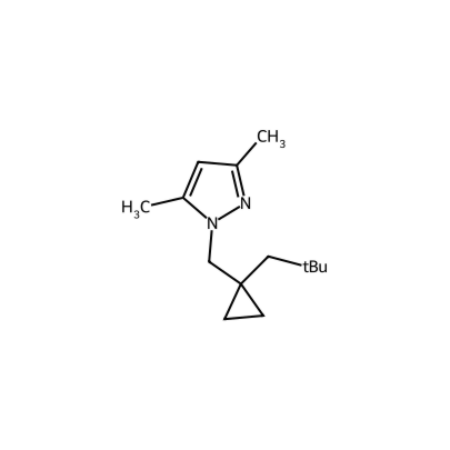 Cc1cc(C)n(CC2(CC(C)(C)C)CC2)n1